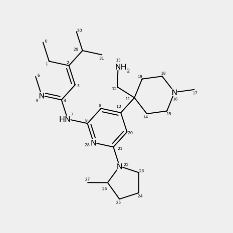 CC/C(=C\C(=N/C)Nc1cc(C2(CN)CCN(C)CC2)cc(N2CCCC2C)n1)C(C)C